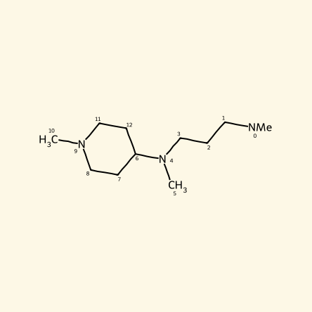 CNCCCN(C)C1CCN(C)CC1